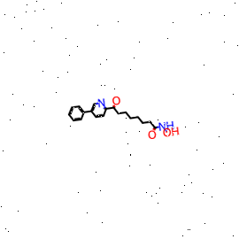 O=C(CCCCCCC(=O)c1ccc(-c2ccccc2)cn1)NO